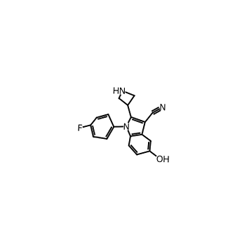 N#Cc1c(C2CNC2)n(-c2ccc(F)cc2)c2ccc(O)cc12